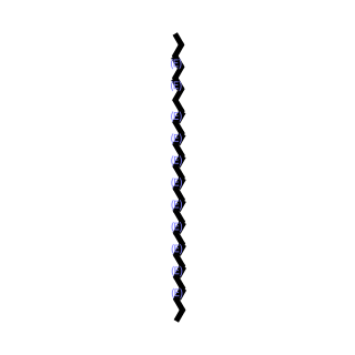 CC/C=C/C=C/C=C/C=C/C=C/C=C/C=C/C=C/C=C/C/C=C/C=C/CC